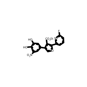 CCOC(=O)c1c(-c2cc(O)c(O)c([N+](=O)[O-])c2)coc1-c1cccc(F)n1